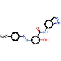 COc1ccc(N=Nc2ccc(O)c(C(=O)Nc3ccc4cn[nH]c4c3)c2)cc1